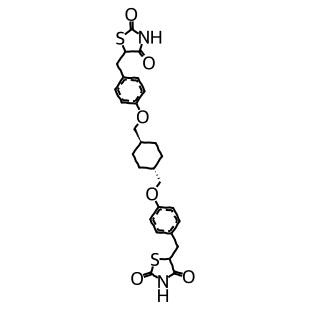 O=C1NC(=O)C(Cc2ccc(OC[C@H]3CC[C@H](COc4ccc(CC5SC(=O)NC5=O)cc4)CC3)cc2)S1